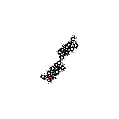 c1ccc(N(c2ccccc2)c2ccc3c(c2)C2(c4ccccc4-3)c3cc(N(c4ccccc4)c4cccc5cc(-c6ccc7c(c6)c6ccccc6n7-c6ccc7c(c6)C6(c8ccccc8-7)c7cc(N(c8ccccc8)c8ccccc8)ccc7-c7sc8ccccc8c76)ccc45)ccc3-c3sc4ccccc4c32)cc1